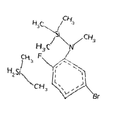 CN(c1cc(Br)ccc1F)[Si](C)(C)C.C[SiH2]C